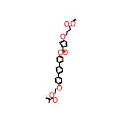 C=COC(=O)CCCOc1ccc(C(=O)Oc2ccc(-c3ccc(-c4ccc(OCCOC(=O)C(=C)C)cc4)cc3)cc2)cc1